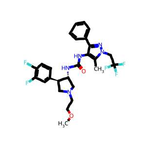 COCCN1C[C@@H](NC(=O)Nc2c(-c3ccccc3)nn(CC(F)(F)F)c2C)[C@H](c2ccc(F)c(F)c2)C1